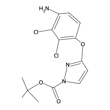 CC(C)(C)OC(=O)n1ccc(Oc2ccc(N)c(Cl)c2Cl)n1